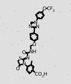 Cc1cc(C(=O)O)ccc1N1C(=O)CSC1=NC(=O)NCOc1ccc(-c2ncn(-c3ccc(OC(F)(F)F)cc3)n2)cc1